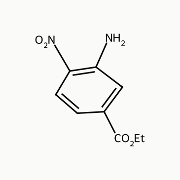 CCOC(=O)c1ccc([N+](=O)[O-])c(N)c1